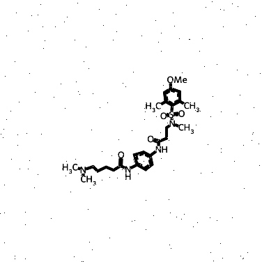 COc1cc(C)c(S(=O)(=O)N(C)CCC(=O)Nc2ccc(NC(=O)CCCCN(C)C)cc2)c(C)c1